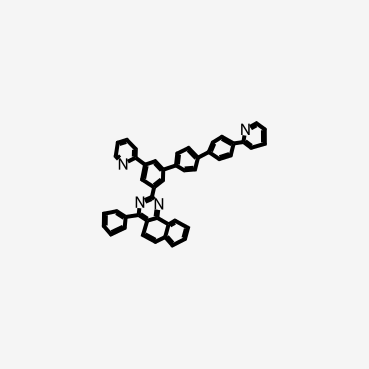 c1ccc(-c2nc(-c3cc(-c4ccc(-c5ccc(-c6ccccn6)cc5)cc4)cc(-c4ccccn4)c3)nc3c2ccc2ccccc23)cc1